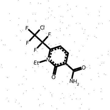 CCn1c(C(F)(F)C(F)(F)Cl)ccc(C(N)=O)c1=O